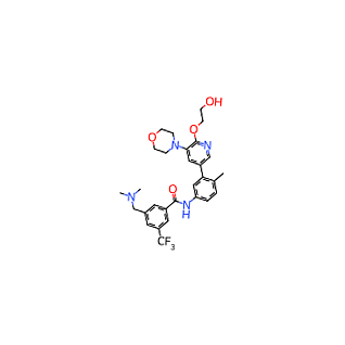 Cc1ccc(NC(=O)c2cc(CN(C)C)cc(C(F)(F)F)c2)cc1-c1cnc(OCCO)c(N2CCOCC2)c1